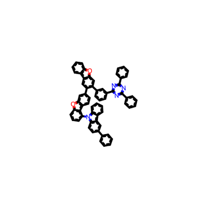 c1ccc(-c2ccc3c(c2)c2ccccc2n3-c2cccc3oc4cc(-c5cc6c(cc5-c5cccc(-c7nc(-c8ccccc8)nc(-c8ccccc8)n7)c5)oc5ccccc56)ccc4c23)cc1